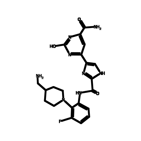 NCC1CCN(c2c(F)cccc2NC(=O)c2nc(-c3cc(C(N)=O)nc(O)n3)c[nH]2)CC1